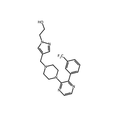 OCCn1cc(CN2CCN(c3nccnc3-c3cccc(C(F)(F)F)c3)CC2)cn1